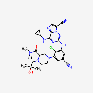 CN(C)C(=O)C1CN(c2cc(C#N)cc(Nc3nc(NC4CC4)c4ncc(C#N)n4n3)c2Cl)CCN1CC(C)(C)O